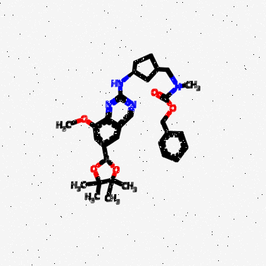 COc1cc(B2OC(C)(C)C(C)(C)O2)cc2cnc(N[C@H]3CCC(CN(C)C(=O)OCc4ccccc4)C3)nc12